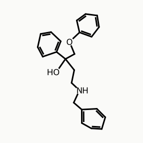 OC(CCNCc1ccccc1)(COc1ccccc1)c1ccccc1